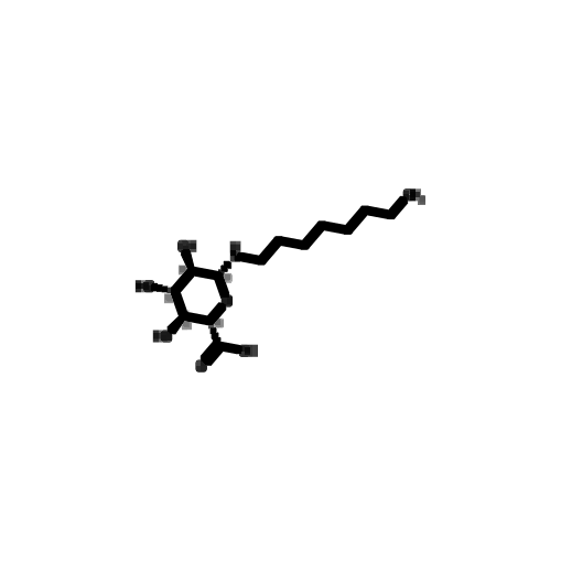 CCCCCCCCN[C@@H]1O[C@H](C(=O)O)[C@@H](O)[C@H](O)[C@H]1O